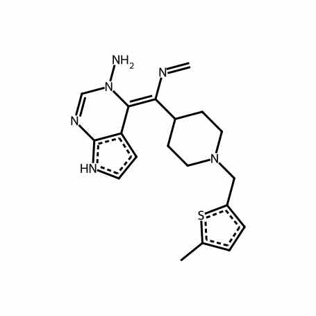 C=N/C(=C1/c2cc[nH]c2N=CN1N)C1CCN(Cc2ccc(C)s2)CC1